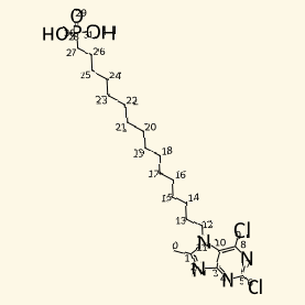 Cc1nc2nc(Cl)nc(Cl)c2n1CCCCCCCCCCCCCCCCP(=O)(O)O